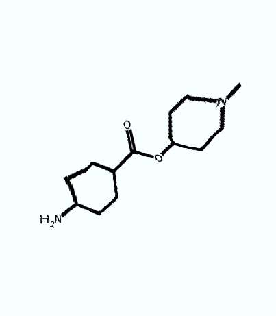 CN1CCC(OC(=O)C2CCC(N)CC2)CC1